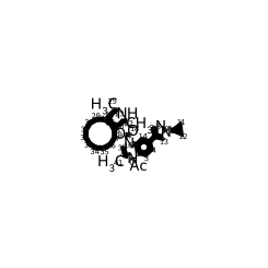 CC(=O)N1c2ccc(-c3cnn(C4CC4)c3)cc2N(C(=O)OC2C(C)NC(C)CC23CCCCCCCCCCC3)C[C@@H]1C